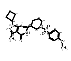 COc1ccc(S(=O)(=O)N2CCCC(c3nc4c(c(C)nn4C4CCC4)c(=O)[nH]3)C2)cc1